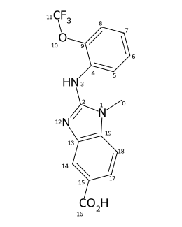 Cn1c(Nc2ccccc2OC(F)(F)F)nc2cc(C(=O)O)ccc21